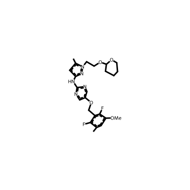 COc1cc(C)c(F)c(COc2cnc(Nc3cc(C)n(CCOC4CCCCO4)n3)nc2)c1F